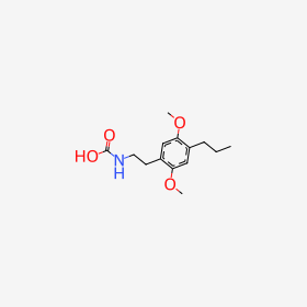 CCCc1cc(OC)c(CCNC(=O)O)cc1OC